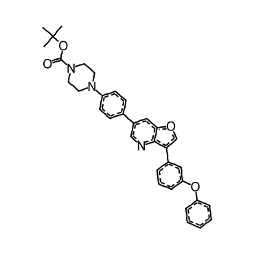 CC(C)(C)OC(=O)N1CCN(c2ccc(-c3cnc4c(-c5cccc(Oc6ccccc6)c5)coc4c3)cc2)CC1